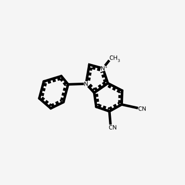 C[n+]1cn(-c2ccccc2)c2cc(C#N)c(C#N)cc21